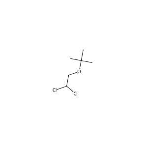 CC(C)(C)OCC(Cl)Cl